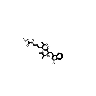 CCC(C)N[C@H](Cc1c[nH]c2ccccc12)C(=O)N[C@H](CCCNC(N)=O)C(C)=O